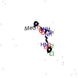 COc1ccccc1OCC(=O)N[C@@H](CC(C)C)C(=O)NCCCCNS(=O)(=O)c1ccc(Cl)cc1Cl